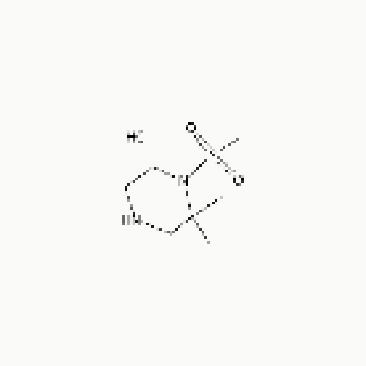 CC1(C)CNCCN1S(C)(=O)=O.Cl